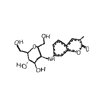 Cc1cc2ccc(N[C@@H]3C(CO)OC(CO)[C@@H](O)C3O)cc2oc1=O